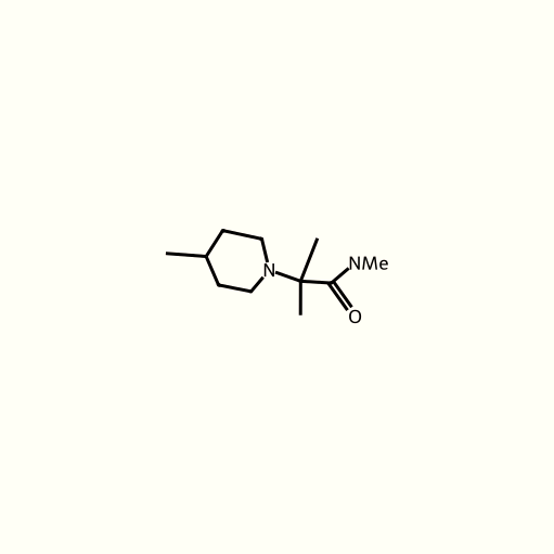 CNC(=O)C(C)(C)N1CCC(C)CC1